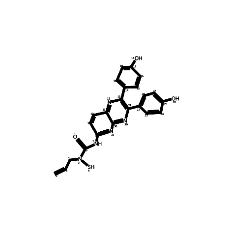 C=CCN(S)C(=O)Nc1ccc2nc(-c3ccc(O)cc3)c(-c3ccc(O)cc3)nc2n1